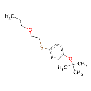 CCCOCCSc1ccc(OC(C)(C)C)cc1